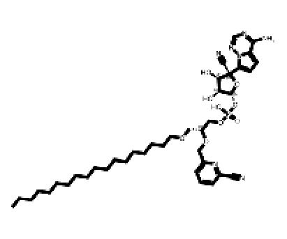 CCCCCCCCCCCCCCCCCCOC[C@H](COP(=O)(O)O[C@H]1O[C@@](C#N)(c2ccc3c(N)ncnn23)[C@H](O)[C@@H]1O)OCc1cccc(C#N)n1